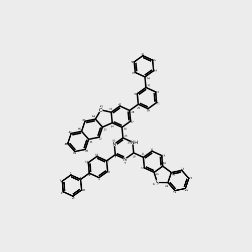 c1ccc(-c2ccc(C3=NC(c4ccc5c(c4)sc4ccccc45)NC(c4cc(-c5cccc(-c6ccccc6)c5)cc5oc6cc7ccccc7cc6c45)=N3)cc2)cc1